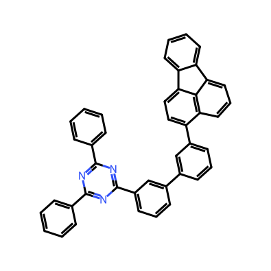 c1ccc(-c2nc(-c3ccccc3)nc(-c3cccc(-c4cccc(-c5ccc6c7c(cccc57)-c5ccccc5-6)c4)c3)n2)cc1